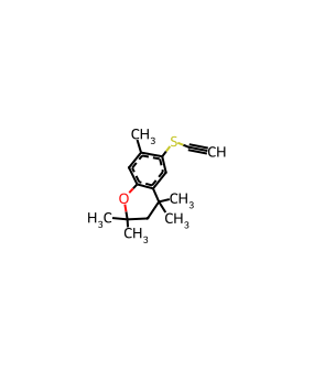 C#CSc1cc2c(cc1C)OC(C)(C)CC2(C)C